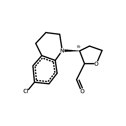 O=CC1OCC[C@@H]1N1CCCc2cc(Cl)ccc21